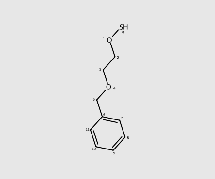 SOCCOCc1ccccc1